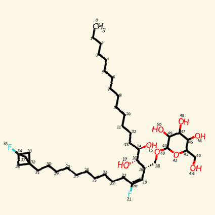 CCCCCCCCCCCCCC[C@@H](O)[C@@H](O)[C@@H](/C=C(/F)CCCCCCCCCCC12CC(F)(C1)C2)COC1OC(CO)C(O)C(O)C1O